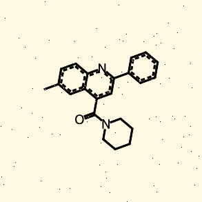 Cc1ccc2nc(-c3ccccc3)cc(C(=O)N3CCCCC3)c2c1